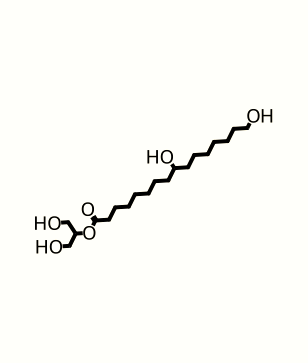 O=C(CCCCCCCC(O)CCCCCCCO)OC(CO)CO